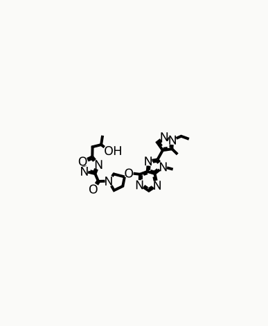 CCn1ncc(-c2nc3c(OC4CCN(C(=O)c5noc(CC(C)O)n5)C4)ncnc3n2C)c1C